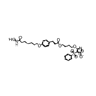 O=C(CCCCCCOc1ccc(C=CC(=O)OCCCCOc2no[n+]([O-])c2S(=O)(=O)c2ccccc2)cc1)NO